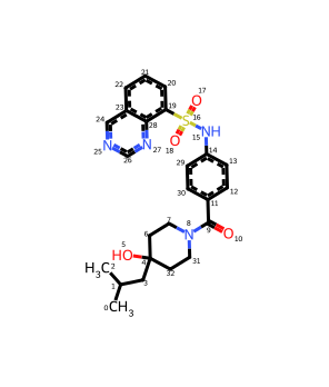 CC(C)CC1(O)CCN(C(=O)c2ccc(NS(=O)(=O)c3cccc4cncnc34)cc2)CC1